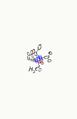 C=C/C(=C\CC(N=C(/N=C(\NC)c1cc(-c2ccccc2)cc(-c2ccccc2)c1)C(=O)c1nc(-c2cc(-c3ccccc3)cc(-c3ccccc3)c2)nc(-c2cc(-c3ccccc3)cc(-c3ccccc3)c2)n1)c1ccccc1)c1ccccc1